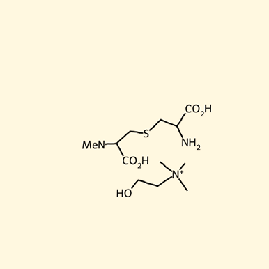 CNC(CSCC(N)C(=O)O)C(=O)O.C[N+](C)(C)CCO